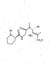 C/C(=C\[C@@H](C(C)C)N(C)C(=O)[C@@H](NC(=O)[C@H]1CCCCN1C(C)C)C(C)(C)C)C(=O)O